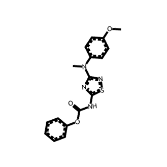 COc1ccc(N(C)c2nsc(NC(=O)Oc3ccccc3)n2)cc1